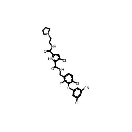 N#Cc1cc(Cl)cc(Oc2c(Cl)ccc(CNC(=O)c3[nH]c(C(=O)NCCN4CCCC4)cc3Cl)c2F)c1